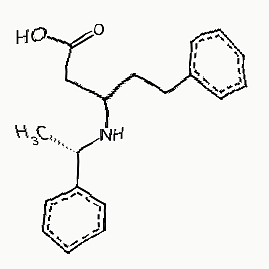 C[C@H](NC(CCc1ccccc1)CC(=O)O)c1ccccc1